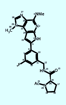 CNc1nc2[nH]c(-c3cc(F)cc(CNC(=O)[C@H]4CCCN4C(C)=O)c3)cc2c2c1ncn2C